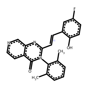 Cc1cccc(C)c1-n1c(/C=C/c2cc(F)ccc2O)nc2cnccc2c1=O